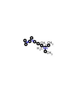 Cc1cccc(-c2cc(-c3cc(C)c(-c4ccc(-c5ccc(-n6c7ccccc7c7cc(-n8c9ccccc9c9ccccc98)ccc76)cc5)cc4)cc3C)nc(-c3cccc(C)c3)n2)c1